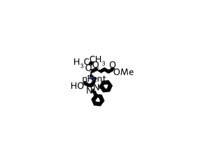 CCCCC[C@@H](O)c1nc(-c2ccccc2)n(-c2ccccc2)c1/C=C/[C@H]1OC(C)(C)O[C@H]1CCCC(=O)OC